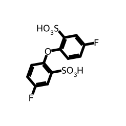 O=S(=O)(O)c1cc(F)ccc1Oc1ccc(F)cc1S(=O)(=O)O